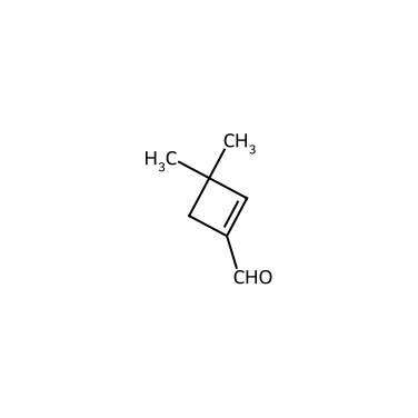 CC1(C)C=C(C=O)C1